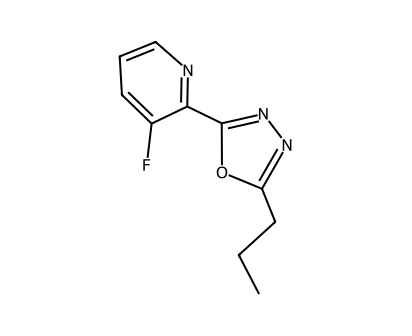 CCCc1nnc(-c2ncccc2F)o1